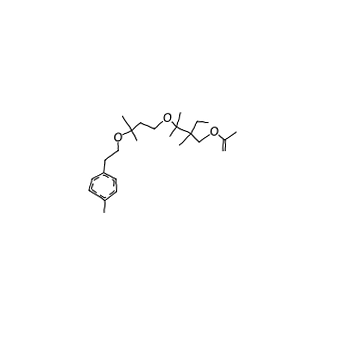 C=C(C)OCC(C)(CC)C(C)(C)OCCC(C)(C)OCCc1ccc(C)cc1